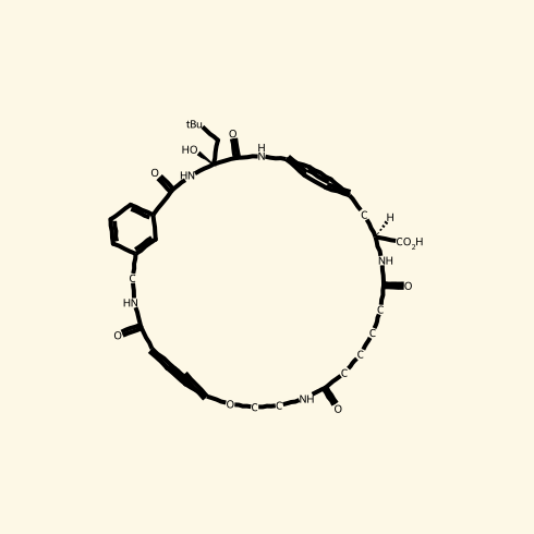 CC(C)(C)C[C@@]1(O)NC(=O)c2cccc(c2)CNC(=O)c2ccc(cc2)OCCNC(=O)CCCCC(=O)N[C@H](C(=O)O)Cc2ccc(cc2)NC1=O